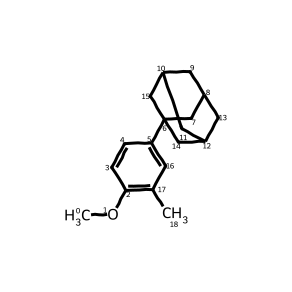 COc1ccc(C23CC4CC(CC(C4)C2)C3)cc1C